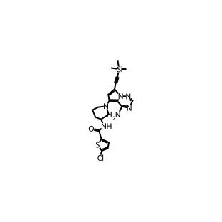 C[Si](C)(C)C#Cc1cc(N2CCCC(NC(=O)c3ccc(Cl)s3)C2)c2c(N)ncnn12